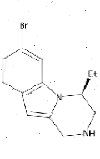 CC[C@H]1CNCc2cc3ccc(Br)cc3n21